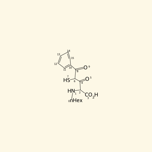 CCCCCCNC(C(=O)O)C(=O)C(S)C(=O)c1ccccc1